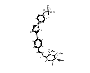 CO[C@@H]1[C@@H](OC)[C@H](C)O[C@@H](O/N=C/c2ccc(-c3ncn(-c4ccc(SC(F)(F)C(F)(F)F)cc4)n3)cc2)[C@@H]1OC